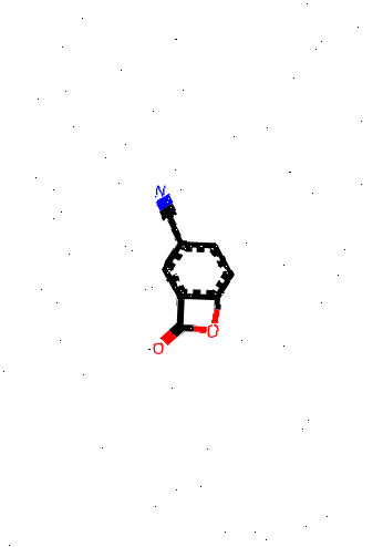 N#Cc1ccc2c(c1)C(=O)O2